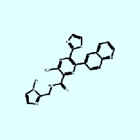 CC(C)n1ccnc1CNC(=O)c1nc(-c2ccc3ncccc3c2)c(-c2ncco2)nc1N